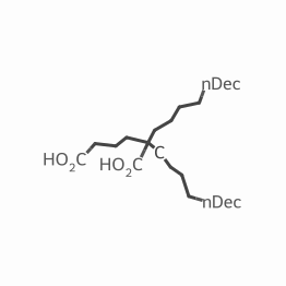 CCCCCCCCCCCCCCC(CCCCCCCCCCCCCC)(CCCC(=O)O)C(=O)O